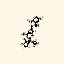 COc1ncc(Cl)cc1N[C@@H](C)c1ccc(N(C=O)[C@@H](CC2CCCC2)C(=O)NC23CC(C2)C3)s1